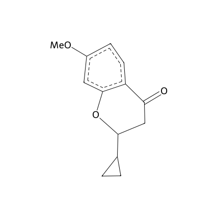 COc1ccc2c(c1)OC(C1CC1)CC2=O